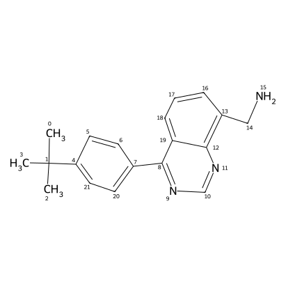 CC(C)(C)c1ccc(-c2ncnc3c(CN)cccc23)cc1